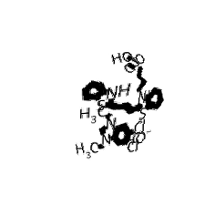 CCN1CN(CC)c2cc(Cl)c(Cl)cc21.O=S(=O)(O)CCCC[n+]1c(C=CC=C2Nc3ccccc3S2)sc2ccccc21.[OH-]